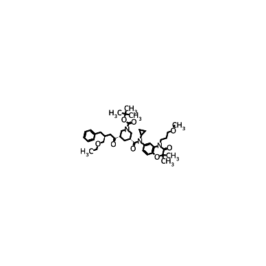 CCOC[C@H](CC(=O)[C@H]1C[C@@H](C(=O)N(c2ccc3c(c2)N(CCCOC)C(=O)C(C)(C)O3)C2CC2)CN(C(=O)OC(C)(C)C)C1)Cc1ccccc1